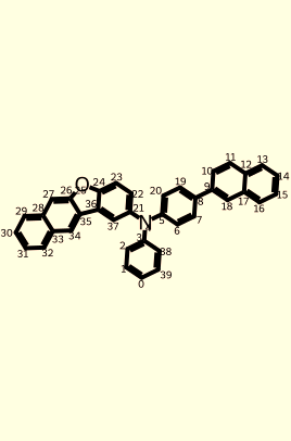 c1ccc(N(c2ccc(-c3ccc4ccccc4c3)cc2)c2ccc3oc4cc5ccccc5cc4c3c2)cc1